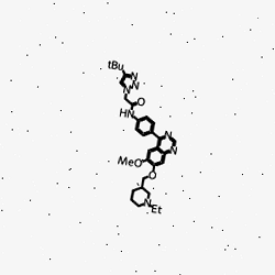 CCN1CCCC(COc2cc3ncnc(-c4ccc(NC(=O)Cn5cc(C(C)(C)C)nn5)cc4)c3cc2OC)C1